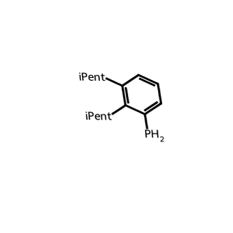 CCCC(C)c1cccc(P)c1C(C)CCC